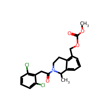 COC(=O)OCc1cccc2c1CCN(C(=O)Cc1c(Cl)cccc1Cl)C2C